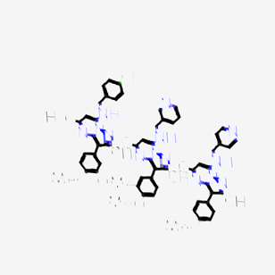 COc1ccc(-c2c(C)nn3c(NCc4ccc(Cl)cc4)cc(C)nc23)cc1OC.COc1ccc(-c2c(C)nn3c(NCc4cccnc4)cc(C)nc23)cc1.COc1ccc(-c2c(C)nn3c(NCc4ccncc4)cc(C)nc23)cc1